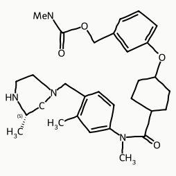 CNC(=O)OCc1cccc(OC2CCC(C(=O)N(C)c3ccc(CN4CCN[C@@H](C)C4)c(C)c3)CC2)c1